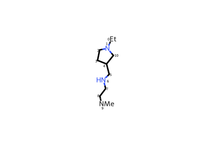 CCN1CCC(CNCCNC)C1